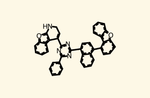 C1=C(c2nc(-c3ccccc3)nc(-c3ccc(-c4cccc5oc6ccccc6c45)c4ccccc34)n2)c2c(oc3ccccc23)NC1